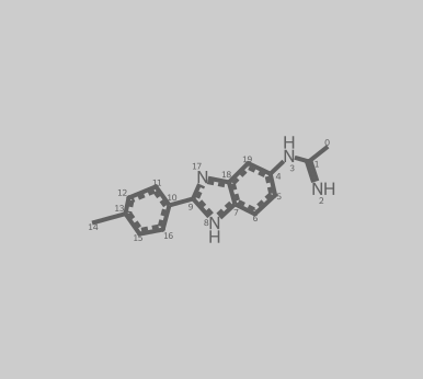 CC(=N)Nc1ccc2[nH]c(-c3ccc(C)cc3)nc2c1